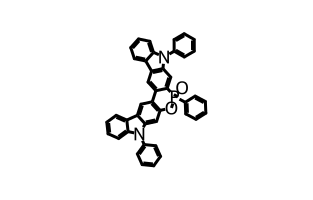 O=P1(c2ccccc2)Oc2cc3c(cc2-c2cc4c5ccccc5n(-c5ccccc5)c4cc21)c1ccccc1n3-c1ccccc1